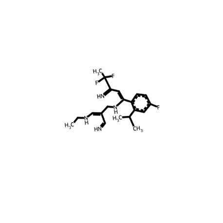 CCN/C=C(\C=N)CN/C(=C\C(=N)C(C)(F)F)c1ccc(F)cc1C(C)C